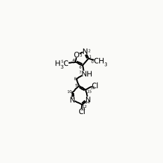 Cc1noc(C)c1NCc1cnc(Cl)nc1Cl